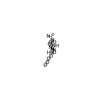 CCOCCOCCOCCOCCNC(=O)c1ncn(-c2ncc(OC)c3c(C(=O)C(=O)N4CCC(=C(C#N)c5ccccc5)CC4)c[nH]c23)n1